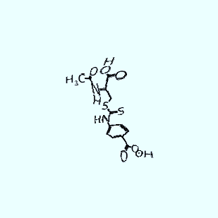 CC(=O)NC(CSC(=S)Nc1ccc(C(=O)OO)cc1)C(=O)O